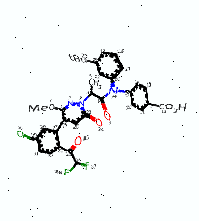 COc1nn(C(C)C(=O)N(c2ccc(C(=O)O)cc2)c2cccc(C(C)(C)C)c2)c(=O)cc1-c1cc(Cl)ccc1C(=O)C(F)F